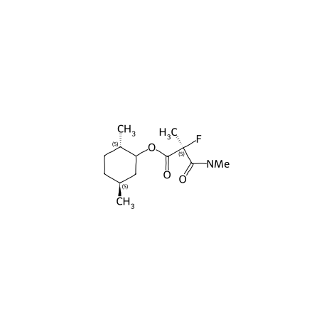 CNC(=O)[C@](C)(F)C(=O)OC1C[C@@H](C)CC[C@@H]1C